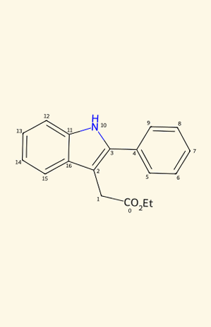 CCOC(=O)Cc1c(-c2ccccc2)[nH]c2ccccc12